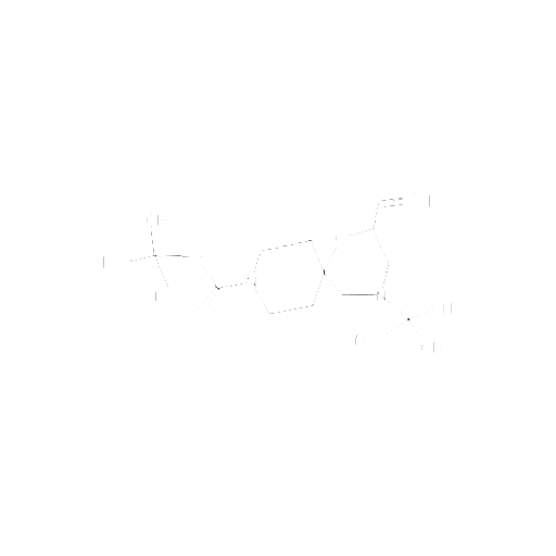 C=CC1CN(C(C)(C)C)CC2(CCN(C(=O)OC(C)(C)C)CC2)O1